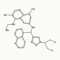 CC(C)(C)CNc1c(C#N)cnc2c(C#N)cc(NC(c3cn(C(CF)CF)nn3)c3cccc4ncccc34)cc12